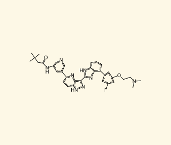 CN(C)CCOc1cc(F)cc(-c2cccc3[nH]c(-c4n[nH]c5ccc(-c6cncc(NC(=O)CC(C)(C)C)c6)nc45)nc23)c1